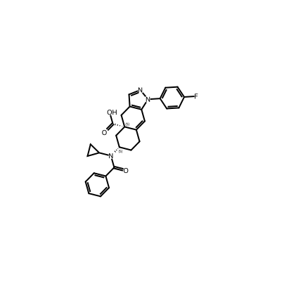 O=C(c1ccccc1)N(C1CC1)[C@H]1CCC2=Cc3c(cnn3-c3ccc(F)cc3)C[C@]2(C(=O)O)C1